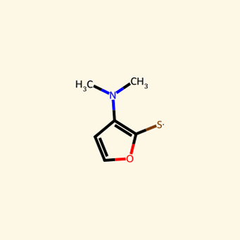 CN(C)c1ccoc1[S]